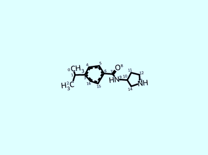 CC(C)c1ccc(C(=O)NC2CCNC2)cc1